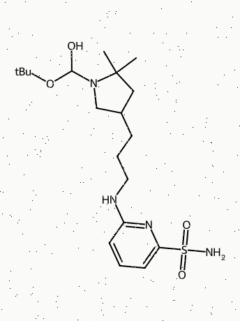 CC(C)(C)OC(O)N1CC(CCCNc2cccc(S(N)(=O)=O)n2)CC1(C)C